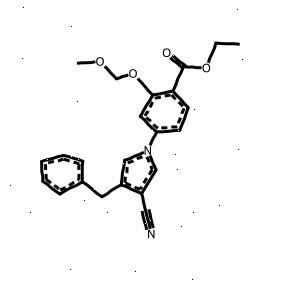 CCOC(=O)c1ccc(-n2cc(C#N)c(Cc3ccccc3)c2)cc1OCOC